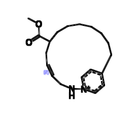 COC(=O)C1C/C=C\CN[n+]2ccc(cc2)CCCCCCC1